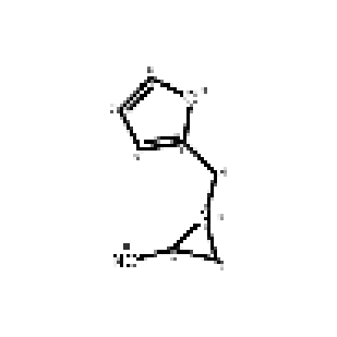 N#CC1CN1Cc1ccco1